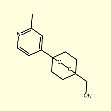 Cc1cc(C23CCC(CO)(CC2)CC3)ccn1